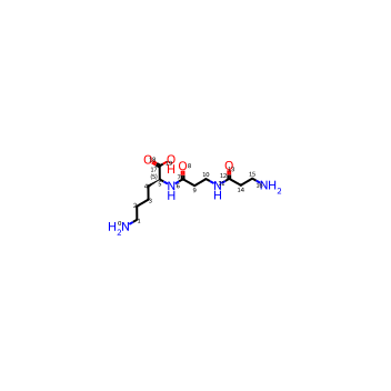 NCCCC[C@H](NC(=O)CCNC(=O)CCN)C(=O)O